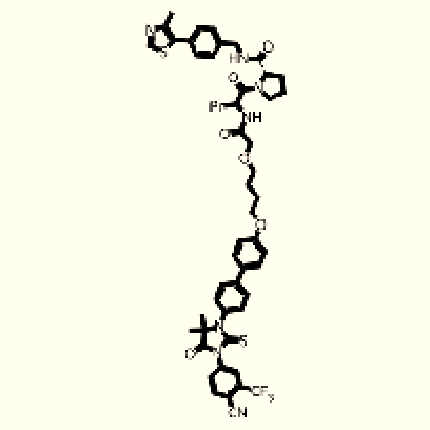 Cc1ncsc1-c1ccc(CNC(=O)[C@@H]2CCCN2C(=O)C(NC(=O)COCCCCOc2ccc(-c3ccc(N4C(=S)N(c5ccc(C#N)c(C(F)(F)F)c5)C(=O)C4(C)C)cc3)cc2)C(C)C)cc1